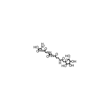 NC(NC(=O)CNC(=O)CNC(=O)CCNC(=O)C[C@H]1O[C@H](CO)[C@H](O)[C@H](O)[C@H]1O)C(=O)O